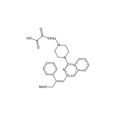 CCN1CCN(c2nc(/C=C(/COC)c3ccccc3)cc3ccccc23)CC1.O=C(O)C(=O)O